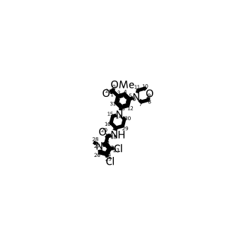 COC(=O)c1cc(N2CCOCC2)cc(N2CCC(NC(=O)c3c(Cl)c(Cl)cn3C)CC2)c1